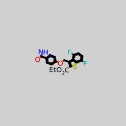 CCOC(=O)c1sc2c(F)ccc(F)c2c1COc1ccc(C(N)=O)cc1